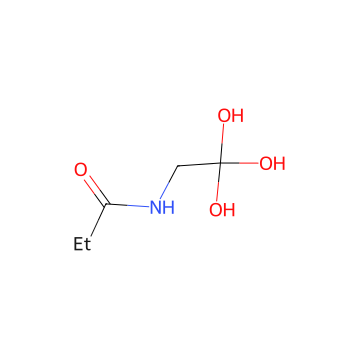 CCC(=O)NCC(O)(O)O